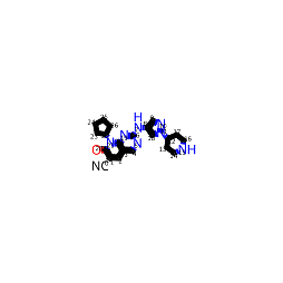 N#Cc1cc2cnc(Nc3cnn(C4CCNCC4)c3)nc2n(C2CCCC2)c1=O